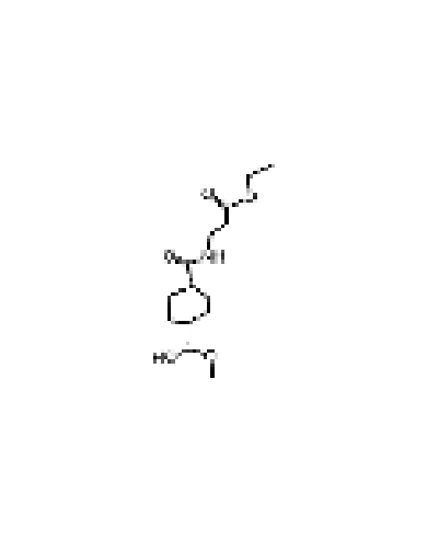 CCOC(=O)CCNC(=O)[C@H]1CC[C@H](C(O)OC)CC1